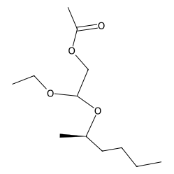 CCCC[C@@H](C)OC(COC(C)=O)OCC